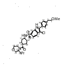 COCCc1ccc(-c2[nH]c3cc(S(=O)(=O)N[C@H]4CC[C@H](C(=O)N5CCOC[C@@H]5C(C)C)CC4)ccc3c2Cl)cc1